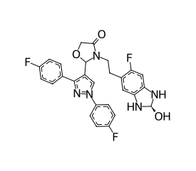 O=C1COC(c2cn(-c3ccc(F)cc3)nc2-c2ccc(F)cc2)N1CCc1cc2c(cc1F)N[C@@H](O)N2